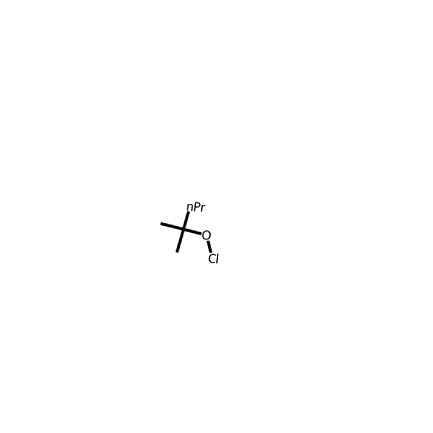 CCCC(C)(C)OCl